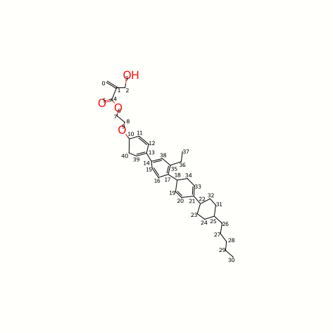 C=C(CO)C(=O)OCCOC1C=CC(c2ccc(C3C=CC(C4CCC(CCCCC)CC4)=CC3)c(CC)c2)=CC1